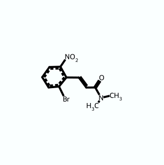 CN(C)C(=O)/C=C/c1c(Br)cccc1[N+](=O)[O-]